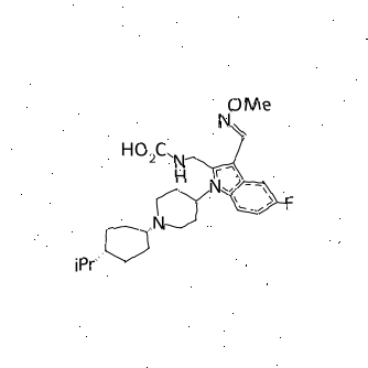 CON=Cc1c(CNC(=O)O)n(C2CCN([C@H]3CC[C@@H](C(C)C)CC3)CC2)c2ccc(F)cc12